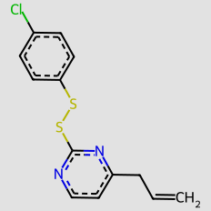 C=CCc1ccnc(SSc2ccc(Cl)cc2)n1